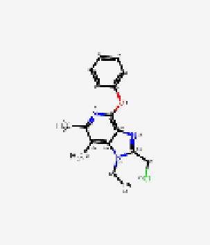 Cc1nc(Oc2ccccc2)c2nc(CCl)n(CC(C)C)c2c1C